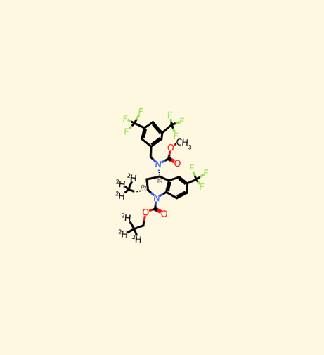 [2H]C([2H])([2H])COC(=O)N1c2ccc(C(F)(F)F)cc2[C@@H](N(Cc2cc(C(F)(F)F)cc(C(F)(F)F)c2)C(=O)OC)C[C@H]1CC([2H])([2H])[2H]